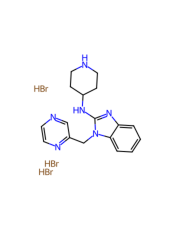 Br.Br.Br.c1ccc2c(c1)nc(NC1CCNCC1)n2Cc1cnccn1